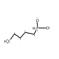 CCCCC[PH2](Cl)Cl